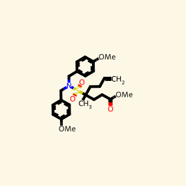 C=CCCC(C)(CCC(=O)OC)S(=O)(=O)N(Cc1ccc(OC)cc1)Cc1ccc(OC)cc1